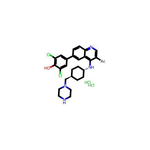 CC(=O)c1cnc2ccc(-c3cc(Cl)c(O)c(Cl)c3)cc2c1N[C@H]1CC[C@H](CN2CCNCC2)CC1.Cl.Cl